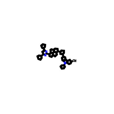 N#Cc1ccc2c(c1)c1cc(-c3cccc(-c4ccc5ccc6c(-c7nc(-c8ccccc8)cc(-c8ccccc8)n7)ccc7ccc4c5c76)c3)ccc1n2-c1ccccc1